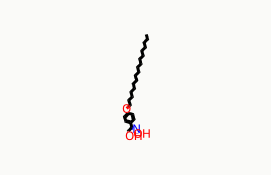 CCCCCCCCCCCCCCCCCCOc1ccc(C(CO)=NO)cc1